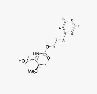 CO[C@H](C)[C@H](NC(=O)OCCCc1ccccc1)C(=O)O